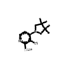 COc1nccc(B2CC(C)(C)C(C)(C)C2)c1Cl